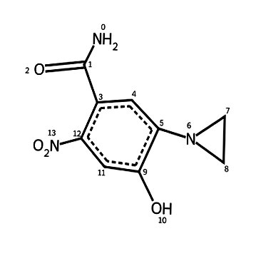 NC(=O)c1cc(N2CC2)c(O)cc1[N+](=O)[O-]